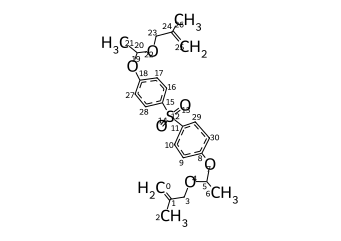 C=C(C)COC(C)Oc1ccc(S(=O)(=O)c2ccc(OC(C)OCC(=C)C)cc2)cc1